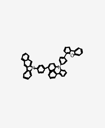 c1ccc(-c2ccccc2N(c2ccc(-c3ccc(-n4c5ccccc5c5cc6ccccc6cc54)cc3)cc2)c2ccc(-c3cccc4c3oc3ccccc34)cc2)cc1